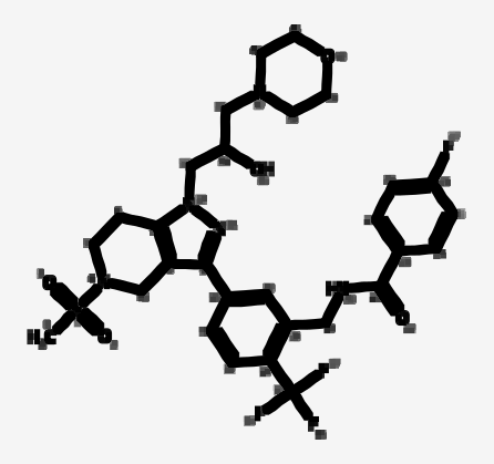 CS(=O)(=O)N1CCc2c(c(-c3ccc(C(F)(F)F)c(CNC(=O)c4ccc(F)cc4)c3)nn2CC(O)CN2CCOCC2)C1